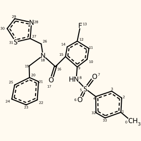 Cc1ccc(S(=O)(=O)Nc2ccc(F)cc2C(=O)N(Cc2ccccc2)Cc2nccs2)cc1